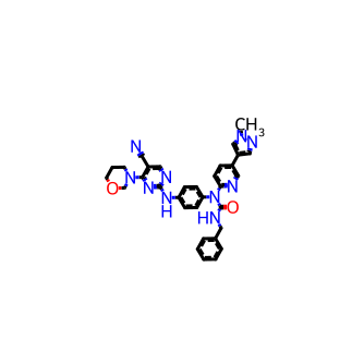 Cn1cc(-c2ccc(N(C(=O)NCc3ccccc3)c3ccc(Nc4ncc(C#N)c(N5CCCOC5)n4)cc3)nc2)cn1